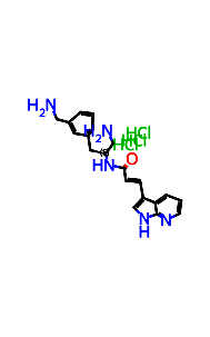 Cl.Cl.Cl.NCc1cccc(C[C@@H](CN)NC(=O)C=Cc2c[nH]c3ncccc23)c1